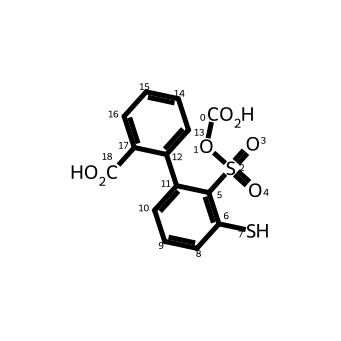 O=C(O)OS(=O)(=O)c1c(S)cccc1-c1ccccc1C(=O)O